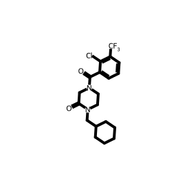 O=C1CN(C(=O)c2cccc(C(F)(F)F)c2Cl)CCN1CC1CCCCC1